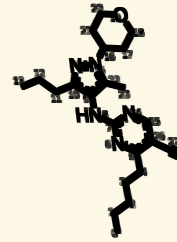 CCCCCc1nc(Nc2c(CCC)nn(C3CCOCC3)c2C)ncc1C#N